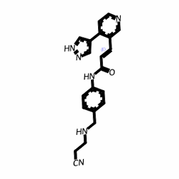 N#CCCNCc1ccc(NC(=O)/C=C/c2cnccc2-c2cn[nH]c2)cc1